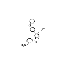 CCCCc1nnc(C(=O)N2CCOC(CN)C2)cc1-c1ccc(OC2CCCCC2)cc1